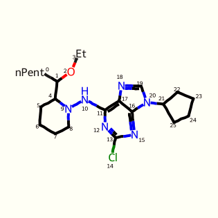 CCCCCC(OCC)C1CCCCN1Nc1nc(Cl)nc2c1ncn2C1CCCC1